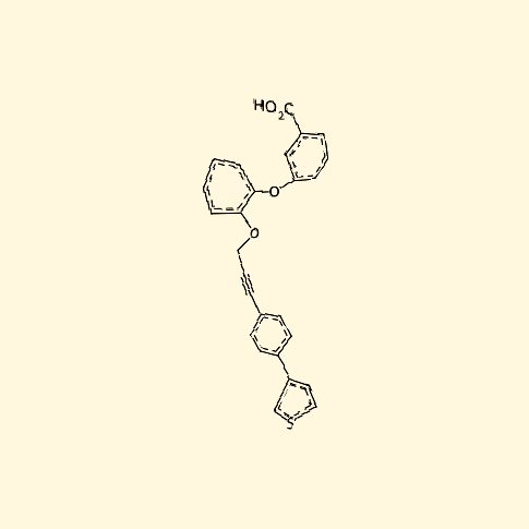 O=C(O)c1cccc(Oc2ccccc2OCC#Cc2ccc(-c3ccsc3)cc2)c1